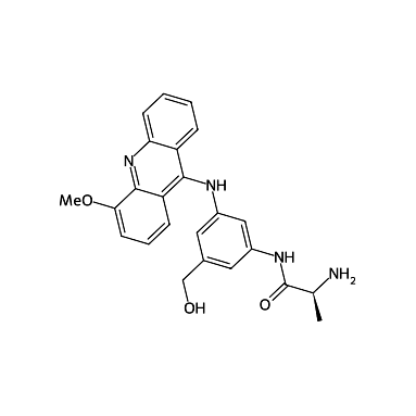 COc1cccc2c(Nc3cc(CO)cc(NC(=O)[C@H](C)N)c3)c3ccccc3nc12